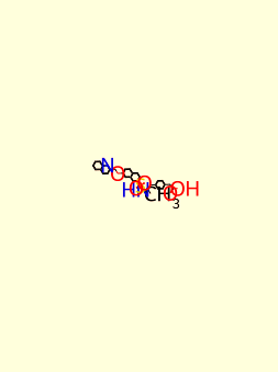 CC(Cc1ccc(CC(=O)O)cc1)NS(=O)(=O)c1ccc2ccc(OCc3ccc4ccccc4n3)cc2c1